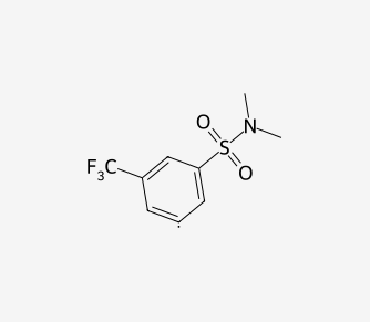 CN(C)S(=O)(=O)c1c[c]cc(C(F)(F)F)c1